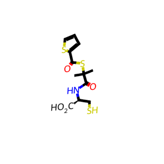 CC(C)(SC(=O)c1cccs1)C(=O)N[C@@H](CS)C(=O)O